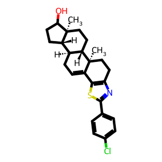 C[C@]12CCc3nc(-c4ccc(Cl)cc4)sc3C1=CC[C@@H]1[C@@H]2CC[C@]2(C)C(O)CC[C@@H]12